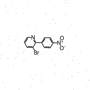 O=[N+]([O-])c1ccc(-c2ncccc2Br)cc1